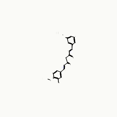 COc1cccc(/C=C/C(=O)CC(=O)/C=C/c2ccc(OC)c(O)c2)c1